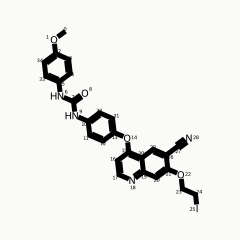 COc1ccc(NC(=O)Nc2ccc(Oc3ccnc4cc(OCCI)c(C#N)cc34)cc2)cc1